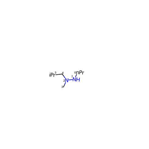 CCCNN(C)CC(C)C